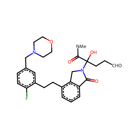 CNC(=O)C(O)(CCC=O)N1Cc2c(CCc3cc(CN4CCOCC4)ccc3F)cccc2C1=O